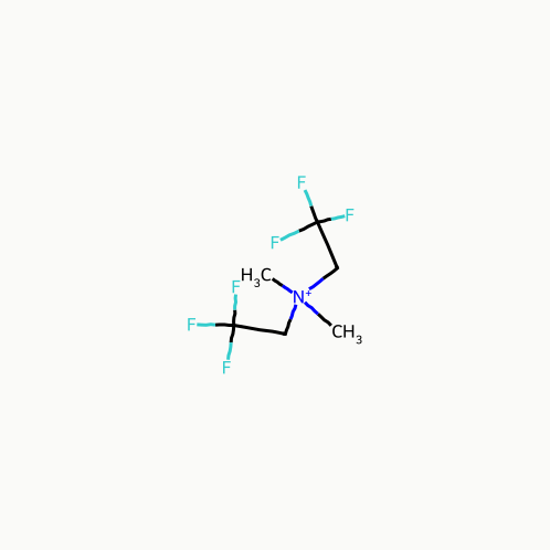 C[N+](C)(CC(F)(F)F)CC(F)(F)F